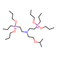 CCCO[PH](CCC)(CCN(CCOC(C)C)CC[PH](CCC)(OCCC)OCCC)OCCC